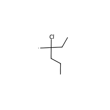 [CH2]C(Cl)(CC)CCC